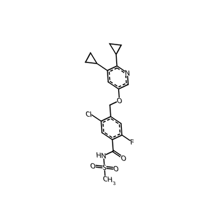 CS(=O)(=O)NC(=O)c1cc(Cl)c(COc2cnc(C3CC3)c(C3CC3)c2)cc1F